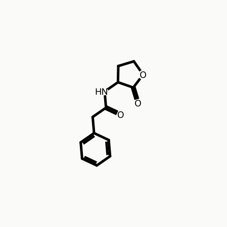 O=C(Cc1ccccc1)NC1CCOC1=O